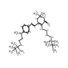 CN(CCO[Si](C)(C)C(C)(C)C)c1ccc(/C=C/C2=C(SCCO[Si](C)(C)C(C)(C)C)C(=O)CC(C)(C)C2)cc1